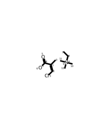 CC(=CCl)C(=O)[O-].CC[N+](C)(C)C